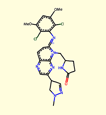 COc1cc(OC)c(Cl)c(/N=c2\ccc3ncc(C4C=NN(C)C4)nc3n2CC2CCC(=O)N2)c1Cl